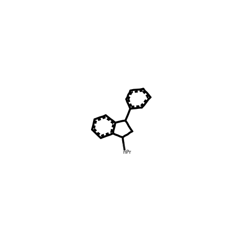 CCCC1CC(c2ccccc2)c2ccccc21